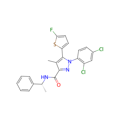 Cc1c(C(=O)N[C@H](C)c2ccccc2)nn(-c2ccc(Cl)cc2Cl)c1-c1ccc(F)s1